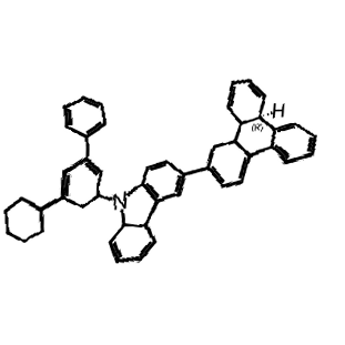 C1=CC2c3cc(C4=CC=C5c6ccccc6[C@@H]6C=CC=CC6C5C4)ccc3N(C3C=C(c4ccccc4)C=C(C4CCCCC4)C3)C2C=C1